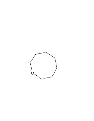 [CH]1CCCCCCO1